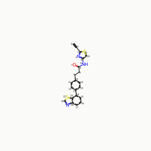 C#Cc1nc(NC(=O)CCc2ccc(-c3cccc4ncsc34)cc2)cs1